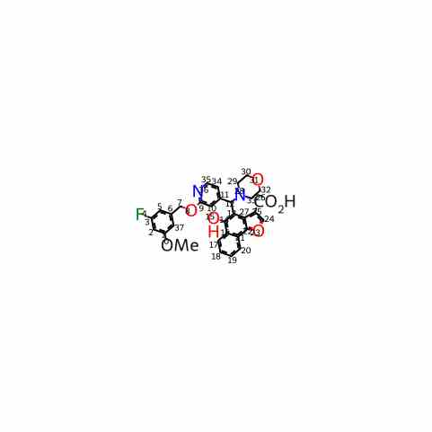 COc1cc(F)cc(COc2cc(C(c3c(O)c4ccccc4c4occ(C(=O)O)c34)N3CCOCC3)ccn2)c1